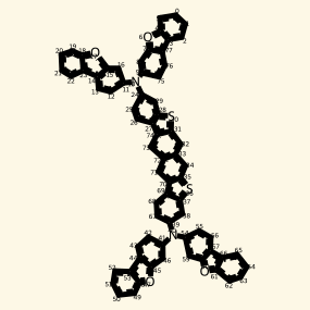 c1ccc2c(c1)oc1cc(N(c3ccc4c(c3)oc3ccccc34)c3ccc4c(c3)sc3cc5cc6sc7cc(N(c8ccc9c(c8)oc8ccccc89)c8ccc9c(c8)oc8ccccc89)ccc7c6cc5cc34)ccc12